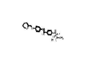 CC(C)S(=O)(=O)Nc1ccc(C(=O)Nc2ccc(OCC3CCCCO3)cc2)cc1